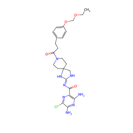 CCOCOc1ccc(CCC(=O)N2CCC3(CC2)CN/C(=N\C(=O)c2nc(Cl)c(N)nc2N)N3)cc1